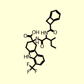 CCC(C)C(NC(=O)C1Cc2ccccc21)C(=O)NC1(C(=O)O)CCc2[nH]c3c(C(F)(F)F)cccc3c2C1